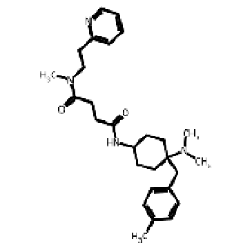 Cc1ccc(CC2(N(C)C)CCC(NC(=O)CCC(=O)N(C)CCc3ccccn3)CC2)cc1